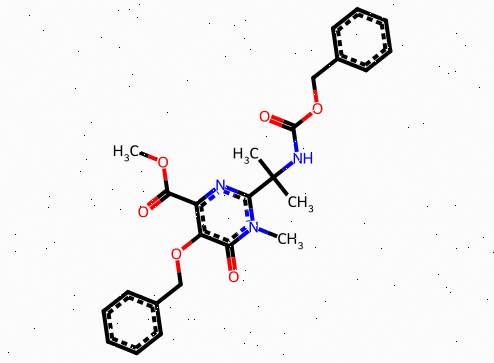 COC(=O)c1nc(C(C)(C)NC(=O)OCc2ccccc2)n(C)c(=O)c1OCc1ccccc1